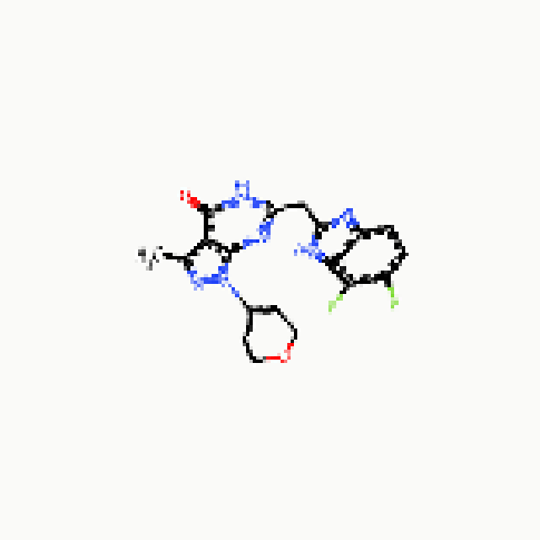 Cc1nn(C2CCOCC2)c2nc(Cc3nc4ccc(F)c(F)c4[nH]3)[nH]c(=O)c12